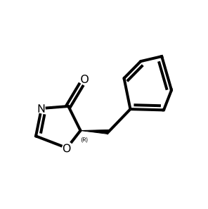 O=C1N=CO[C@@H]1Cc1ccccc1